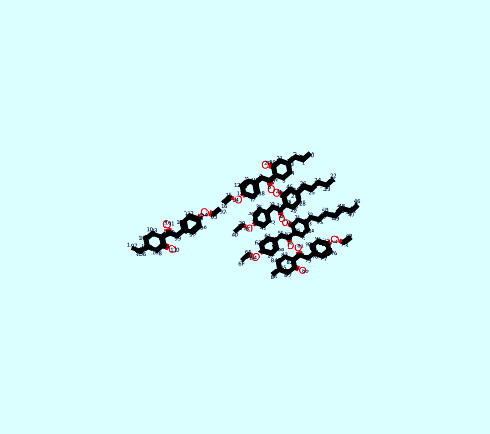 CCCC1CCC(C(=O)Cc2ccc(OCC)cc2)C(=O)C1.CCCCCC1CCC(C(=O)Cc2ccc(OCC)cc2)C(=O)C1.CCCCCCCC1CCC(C(=O)Cc2ccc(OCC)cc2)C(=O)C1.CCOc1ccc(CC(=O)C2CCC(C)CC2=O)cc1.CCOc1ccc(CC(=O)C2CCC(CC)CC2=O)cc1